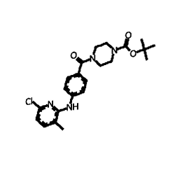 Cc1ccc(Cl)nc1Nc1ccc(C(=O)N2CCN(C(=O)OC(C)(C)C)CC2)cc1